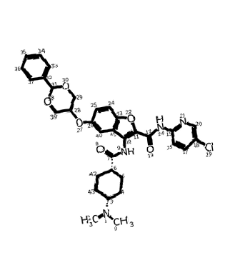 CN(C)[C@H]1CC[C@@H](C(=O)Nc2c(C(=O)Nc3ccc(Cl)cn3)oc3ccc(OC4COC(c5ccccc5)OC4)cc23)CC1